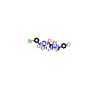 CCc1c(C(=O)N2CCN(C(=O)c3cccc(Br)c3)C(C)C2)cnn1-c1nc(-c2ccc(Cl)cc2)cs1